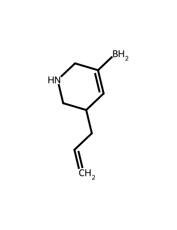 BC1=CC(CC=C)CNC1